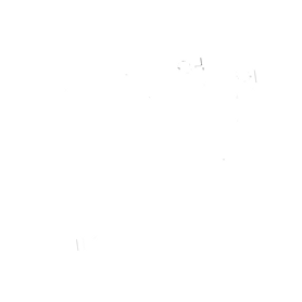 CCCCc1ccccc1-c1cccc(O)c1O